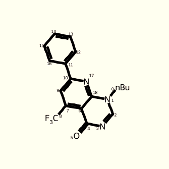 CCCCn1cnc(=O)c2c(C(F)(F)F)cc(-c3ccccc3)nc21